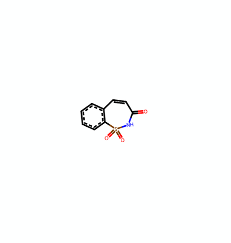 O=C1C=Cc2ccccc2S(=O)(=O)N1